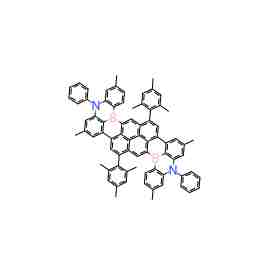 Cc1cc(C)c(-c2cc3c4c(cc5c(-c6c(C)cc(C)cc6C)cc6c7c(cc2c4c57)B2c4ccc(C)cc4N(c4ccccc4)c4cc(C)cc-6c42)B2c4ccc(C)cc4N(c4ccccc4)c4cc(C)cc-3c42)c(C)c1